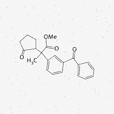 COC(=O)C(C)(c1cccc(C(=O)c2ccccc2)c1)C1CCCC1=O